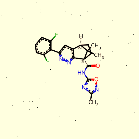 Cc1noc(NC(=O)[C@]23CC[C@H](c4cc(-c5c(F)cccc5F)nnc42)C3(C)C)n1